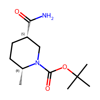 C[C@@H]1CC[C@H](C(N)=O)CN1C(=O)OC(C)(C)C